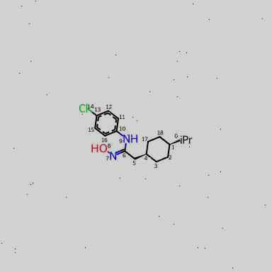 CC(C)[C@H]1CC[C@@H](C/C(=N/O)Nc2ccc(Cl)cc2)CC1